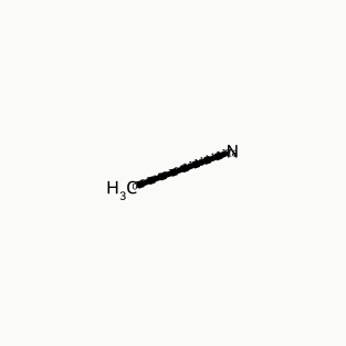 CC#CC#CC#CC#CC#CC#CC#CC#CC#N